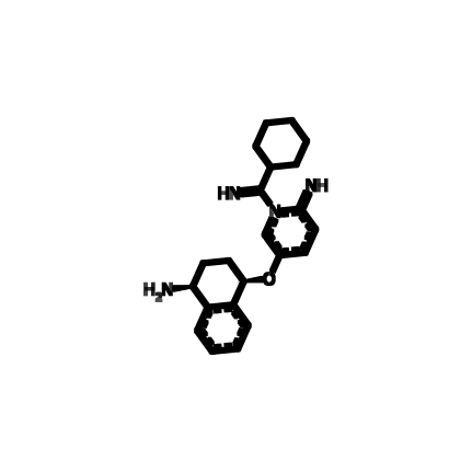 N=C(C1CCCCC1)n1cc(O[C@@H]2CC[C@H](N)c3ccccc32)ccc1=N